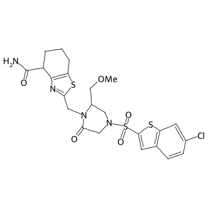 COCC1CN(S(=O)(=O)c2cc3ccc(Cl)cc3s2)CC(=O)N1Cc1nc2c(s1)CCCC2C(N)=O